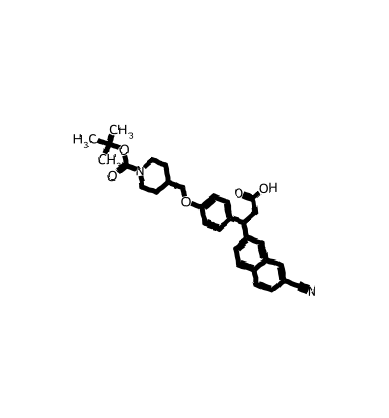 CC(C)(C)OC(=O)N1CCC(COc2ccc(C(CC(=O)O)c3ccc4ccc(C#N)cc4c3)cc2)CC1